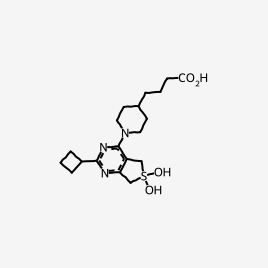 O=C(O)CCCC1CCN(c2nc(C3CCC3)nc3c2CS(O)(O)C3)CC1